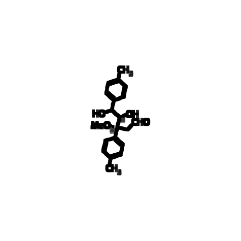 CO[C@](CC=O)(c1ccc(C)cc1)[C@H](O)C(O)c1ccc(C)cc1